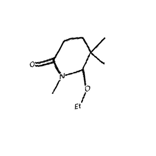 CCOC1N(C)C(=O)CCC1(C)C